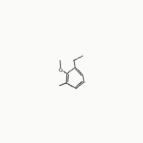 CCc1c[c]cc(C)c1OC